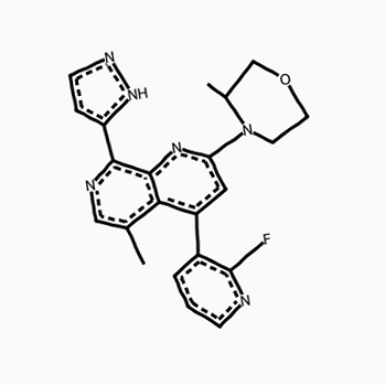 Cc1cnc(-c2ccn[nH]2)c2nc(N3CCOCC3C)cc(-c3cccnc3F)c12